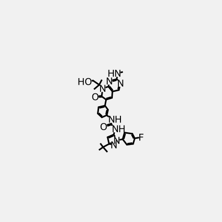 CNc1ncc2cc(-c3cccc(NC(=O)Nc4cc(C(C)(C)C)nn4-c4ccc(F)cc4)c3)c(=O)n(C(C)(C)CO)c2n1